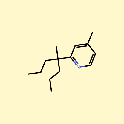 CCCC(C)(CCC)c1cc(C)ccn1